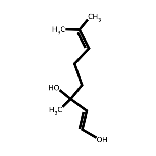 CC(C)=CCCC(C)(O)/C=C/O